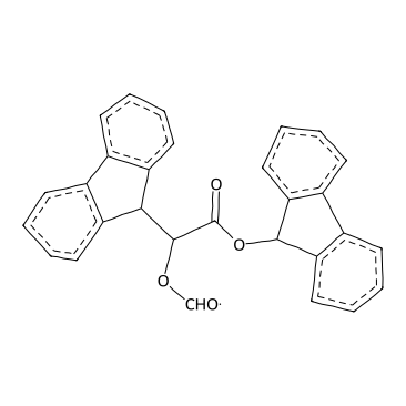 O=[C]OC(C(=O)OC1c2ccccc2-c2ccccc21)C1c2ccccc2-c2ccccc21